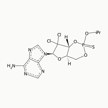 CC(C)OP1(=S)OC[C@H]2O[C@@H](n3cnc4c(N)ncnc43)C(Cl)(Cl)[C@@H]2O1